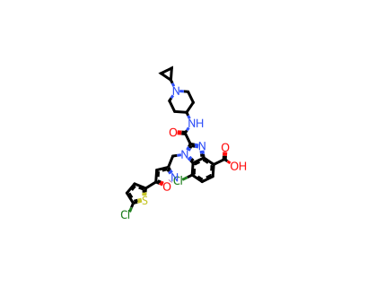 O=C(O)c1ccc(Cl)c2c1nc(C(=O)NC1CCN(C3CC3)CC1)n2Cc1cc(-c2ccc(Cl)s2)on1